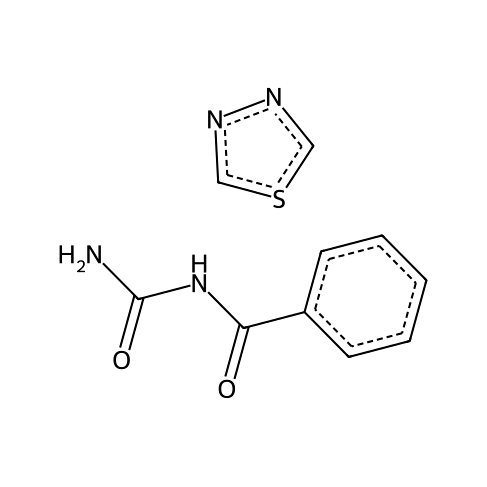 NC(=O)NC(=O)c1ccccc1.c1nncs1